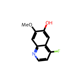 COc1cc2nccc(F)c2cc1O